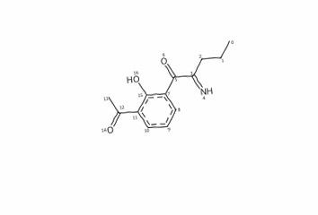 CCCC(=N)C(=O)c1cccc(C(C)=O)c1O